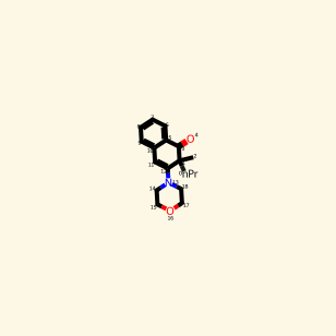 CCCC1(C)C(=O)c2ccccc2C=C1N1CCOCC1